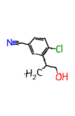 [CH2]C(CO)c1cc(C#N)ccc1Cl